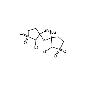 CCC1C(SC2(C(C)(C)C)CCS(=O)(=O)C2CC)(C(C)(C)C)CCS1(=O)=O